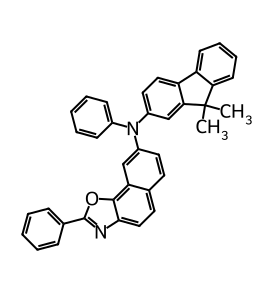 CC1(C)c2ccccc2-c2ccc(N(c3ccccc3)c3ccc4ccc5nc(-c6ccccc6)oc5c4c3)cc21